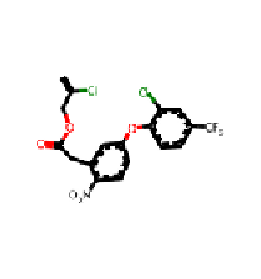 C=C(Cl)COC(=O)Cc1cc(Oc2ccc(C(F)(F)F)cc2Cl)ccc1[N+](=O)[O-]